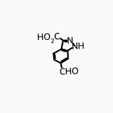 O=Cc1ccc2c(C(=O)O)n[nH]c2c1